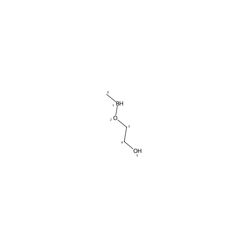 CBOCCO